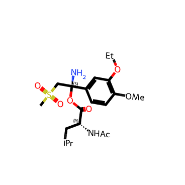 CCOc1cc([C@@](N)(CS(C)(=O)=O)OC(=O)[C@@H](CC(C)C)NC(C)=O)ccc1OC